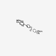 CCCCCCCCC[C@]1(C#N)CC[C@H](C(=O)Oc2ccc(-c3ccc(OCCCCCC)cn3)cc2)CC1